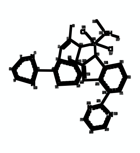 CC1=Cc2c(-c3ncccn3)cccc2[CH]1[Zr]([Cl])([Cl])([CH]1C(C)=Cc2c(-c3ncccn3)cccc21)[SiH](C)C